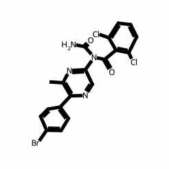 Cc1nc(N(C(N)=O)C(=O)c2c(Cl)cccc2Cl)cnc1-c1ccc(Br)cc1